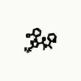 CC(c1ccccn1)N(C)C(=O)c1cc(C(F)(F)F)nn1-c1ccccc1Cl